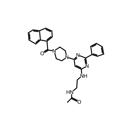 CC(=O)NCCNc1cc(N2CCN(C(=O)c3cccc4ccccc34)CC2)nc(-c2ccccc2)n1